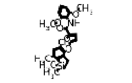 COc1cccc(OC)c1NC(=O)c1ccc(Oc2c(Cl)cc(C)c3c2CC[Si]3(C)C)o1